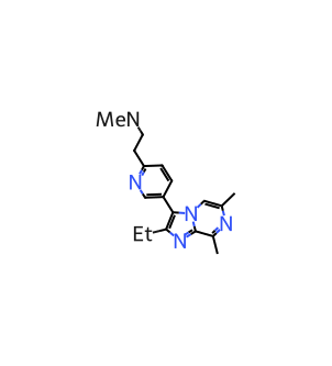 CCc1nc2c(C)nc(C)cn2c1-c1ccc(CCNC)nc1